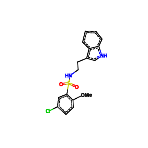 COc1ccc(Cl)cc1S(=O)(=O)NCCc1c[nH]c2ccccc12